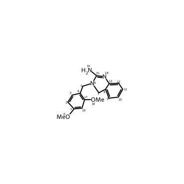 COc1ccc(CN2Cc3ccccc3N=C2N)c(OC)c1